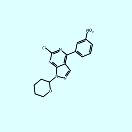 O=[N+]([O-])c1cccc(-c2nc(Cl)nc3c2cnn3C2CCCCO2)c1